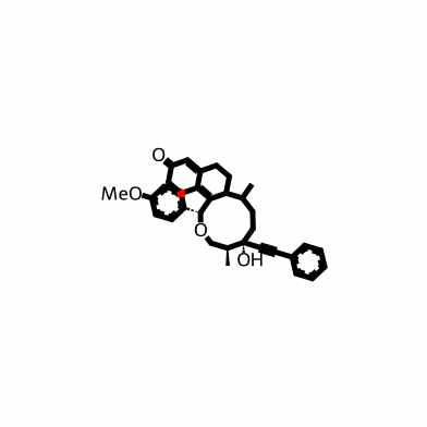 COc1ccc([C@H]2OC[C@H](C)[C@](O)(C#Cc3ccccc3)CCC(C)C3CCC4=CC(=O)CCC4=C32)cc1